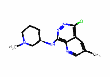 Cc1cnc2c(N[C@@H]3CCCN(C)C3)nnc(Cl)c2c1